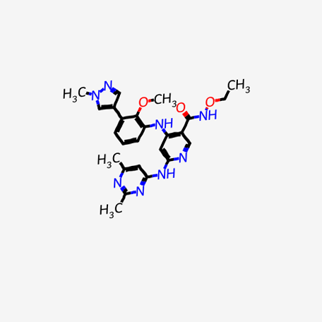 CCONC(=O)c1cnc(Nc2cc(C)nc(C)n2)cc1Nc1cccc(-c2cnn(C)c2)c1OC